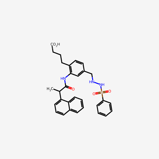 CC(C(=O)Nc1cc(CNNS(=O)(=O)c2ccccc2)ccc1CCCC(=O)O)c1cccc2ccccc12